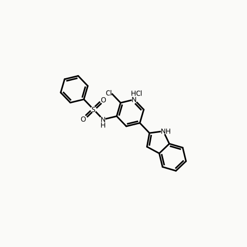 Cl.O=S(=O)(Nc1cc(-c2cc3ccccc3[nH]2)cnc1Cl)c1ccccc1